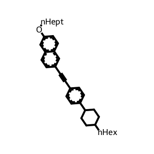 CCCCCCCOc1ccc2cc(C#Cc3ccc(C4CCC(CCCCCC)CC4)cc3)ccc2c1